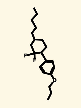 CCCCCC1CCC(c2ccc(OCCC)cc2)C(F)(F)C1